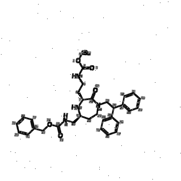 CC(C)(C)OC(=O)NCC[C@@H]1N[C@H](CNC(=O)OCc2ccccc2)CCN(CC(c2ccccc2)c2ccccc2)C1=O